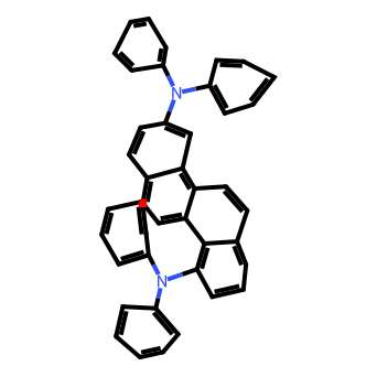 c1ccc(N(c2ccccc2)c2ccc3ccc4c(ccc5cccc(N(c6ccccc6)c6ccccc6)c54)c3c2)cc1